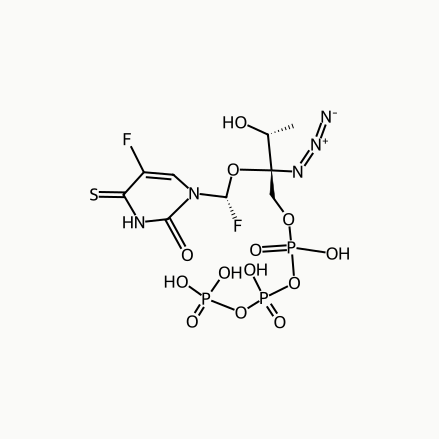 C[C@@H](O)[C@](COP(=O)(O)OP(=O)(O)OP(=O)(O)O)(N=[N+]=[N-])O[C@H](F)n1cc(F)c(=S)[nH]c1=O